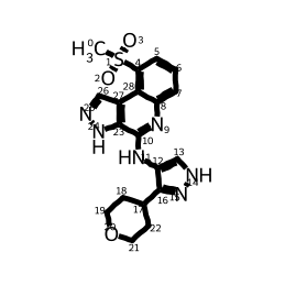 CS(=O)(=O)c1cccc2nc(Nc3c[nH]nc3C3CCOCC3)c3[nH]ncc3c12